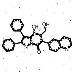 Cn1c(CO)c(-c2ccc3ncccc3c2)c(=O)n2nc(-c3ccccc3)c(-c3ccccc3)c12